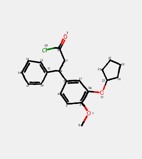 COc1ccc(C(CC(=O)Cl)c2ccccc2)cc1OC1CCCC1